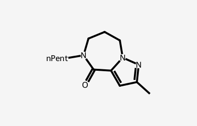 CCCCCN1CCCn2nc(C)cc2C1=O